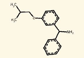 CC(C)COc1cccc(C(N)c2ccccc2)c1